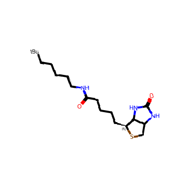 CC(C)(C)CCCCCNC(=O)CCCC[C@@H]1SCC2NC(=O)NC21